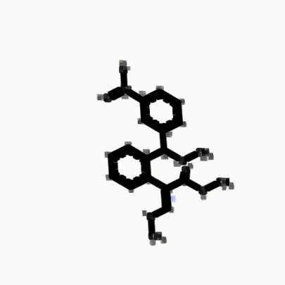 CO/C=C(/C(=O)OC)c1ccccc1C(OC)c1cccc([N+](=O)[O-])c1